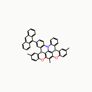 Cc1ccc2c(c1)B1c3ccccc3N3c4ccc(-c5c6ccccc6cc6ccccc56)cc4B4c5cc(C)ccc5Oc5c(C)c(c1c3c54)O2